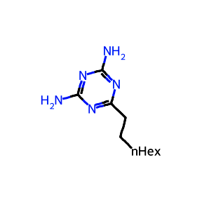 CCCCCCCCc1nc(N)nc(N)n1